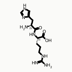 N=C(N)NCCC[C@H](NC(=O)[C@@H](N)Cc1c[nH]cn1)C(=O)O